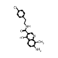 Cc1c(N)ccc2c(O)c(C(=O)NCCc3ccc(Cl)cc3)cnc12